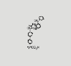 CCc1noc(-c2ccc(-c3ccc(C4(C(=O)O)CC4)cc3)cc2)c1Nc1cccc([S+]([O-])c2ccccc2)n1